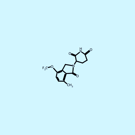 Cc1ccc(OC(F)(F)F)c2c1C(=O)N(C1CCC(=O)NC1=O)C2